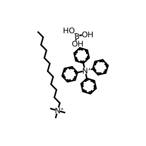 CCCCCCCCCCCC[N+](C)(C)C.OB(O)O.c1ccc([N+](c2ccccc2)(c2ccccc2)c2ccccc2)cc1